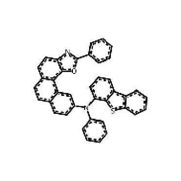 c1ccc(-c2nc3ccc4ccc5ccc(N(c6ccccc6)c6cccc7c6sc6ccccc67)cc5c4c3o2)cc1